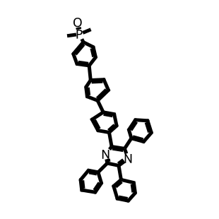 CP(C)(=O)c1ccc(-c2ccc(-c3ccc(-c4nc(-c5ccccc5)c(-c5ccccc5)nc4-c4ccccc4)cc3)cc2)cc1